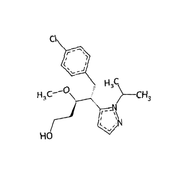 CO[C@H](CCO)[C@H](Cc1ccc(Cl)cc1)c1ccnn1C(C)C